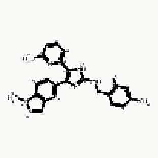 Cc1ccc(CNc2nc(-c3ccc4c(cnn4C)c3)c(-c3cccc(C)n3)[nH]2)c(F)c1